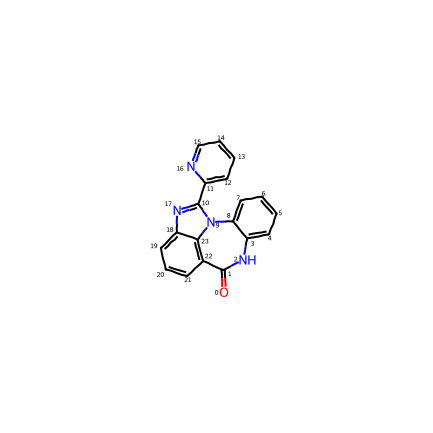 O=C1Nc2ccccc2-n2c(-c3ccccn3)nc3cccc1c32